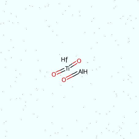 [Hf].[O]=[AlH].[O]=[Ti]=[O]